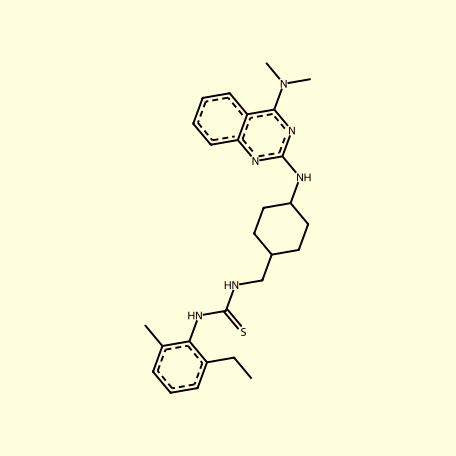 CCc1cccc(C)c1NC(=S)NCC1CCC(Nc2nc(N(C)C)c3ccccc3n2)CC1